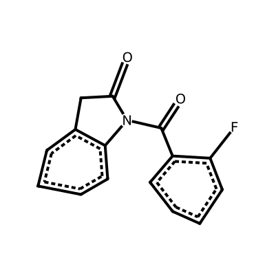 O=C1Cc2ccccc2N1C(=O)c1ccccc1F